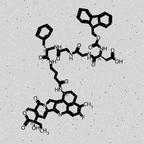 CC[C@@]1(O)C(=O)OCc2c1cc1n(c2=O)Cc2c-1nc1cc(F)c(C)c3c1c2[C@@H](NC(=O)CCCNC(=O)[C@H](Cc1ccccc1)NC(=O)CNC(=O)CNC(=O)[C@H](CC(=O)O)NC(=O)OCC1c2ccccc2-c2ccccc21)CC3